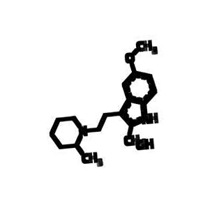 COc1ccc2[nH]c(C)c(CCN3CCCCC3C)c2c1.Cl